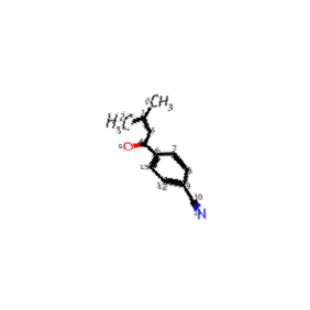 CC(C)CC(=O)c1ccc(C#N)cc1